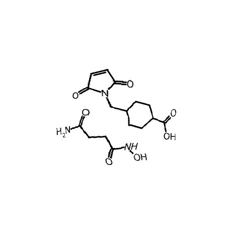 NC(=O)CCC(=O)NO.O=C(O)C1CCC(CN2C(=O)C=CC2=O)CC1